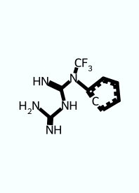 N=C(N)NC(=N)N(c1ccccc1)C(F)(F)F